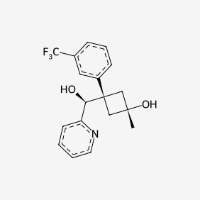 C[C@]1(O)C[C@@](c2cccc(C(F)(F)F)c2)([C@H](O)c2ccccn2)C1